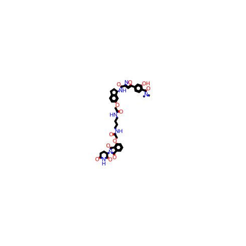 CN(C)C(=O)c1ccc(-c2cc(C(=O)N[C@@H]3CCc4ccc(OCC(=O)NCCCCNC(=O)COc5cccc6c5C(=O)N(C5CCC(=O)NC5=O)C6=O)cc43)no2)cc1O